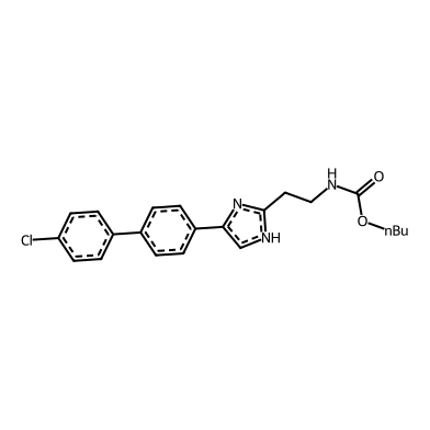 CCCCOC(=O)NCCc1nc(-c2ccc(-c3ccc(Cl)cc3)cc2)c[nH]1